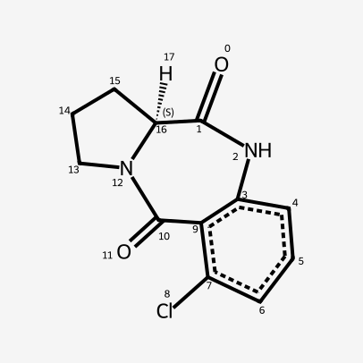 O=C1Nc2cccc(Cl)c2C(=O)N2CCC[C@@H]12